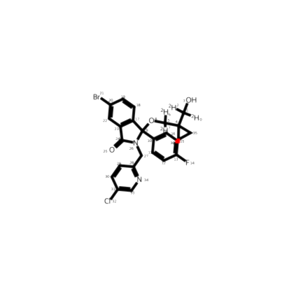 [2H]C([2H])(O)C1(C([2H])([2H])OC2(c3ccc(F)cc3)c3ccc(Br)cc3C(=O)N2Cc2ccc(Cl)cn2)CC1